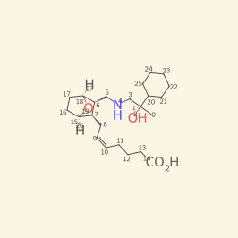 CC(O)(CNC[C@H]1[C@@H](C/C=C\CCCC(=O)O)[C@H]2CC[C@@H]1O2)C1CCCCC1